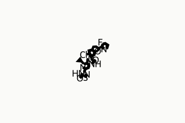 O=C1Nc2cc(-c3nsc(=O)[nH]3)nc(C3CC3)c2CN1c1cc2c(cc1Cl)CCC(c1ncccc1F)O2